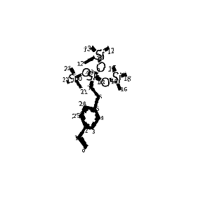 C=Cc1ccc(CC[Si](O[Si](C)(C)C)(O[Si](C)(C)C)O[Si](C)(C)C)cc1